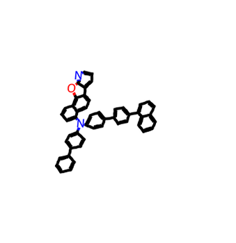 c1ccc(-c2ccc(N(c3ccc(-c4ccc(-c5cccc6ccccc56)cc4)cc3)c3cccc4c3ccc3c5cccnc5oc43)cc2)cc1